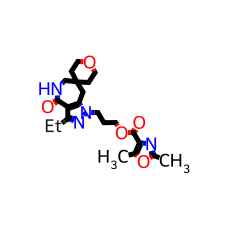 CCc1nn(CCCOC(=O)c2nc(C)oc2C)c2c1C(=O)NCC1(CCOCC1)C2